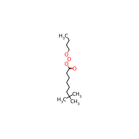 CCCCOOOC(=O)CCCCCC(C)(C)C